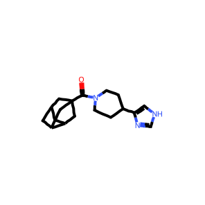 O=C(N1CCC(c2c[nH]cn2)CC1)C12CC3CC(C1)C(C3)C2